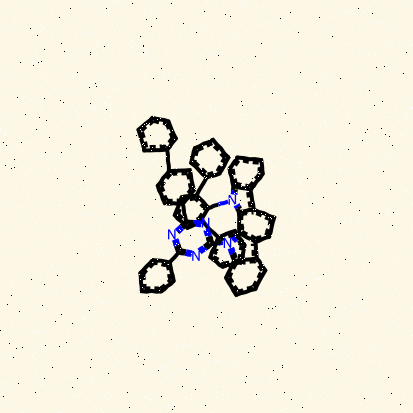 c1ccc(-c2ccc(-c3nc(-c4ccccc4)nc(-n4c5ccccc5c5ccc6c7ccccc7n(-c7c(-c8ccccc8)cccc7-c7ccccc7)c6c54)n3)cc2)cc1